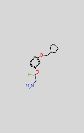 NCC(F)Oc1cccc(OCC2CCCC2)c1